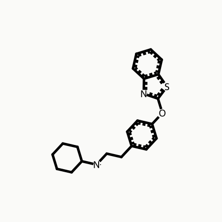 c1ccc2sc(Oc3ccc(CC[N]C4CCCCC4)cc3)nc2c1